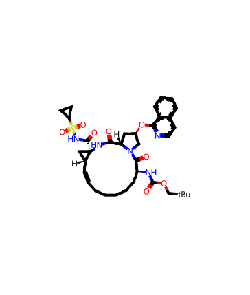 CC(C)(C)COC(=O)N[C@H]1CCCCC/C=C\[C@@H]2C[C@@]2(C(=O)NS(=O)(=O)C2CC2)NC(=O)[C@@H]2C[C@@H](Oc3nccc4ccccc34)CN2C1=O